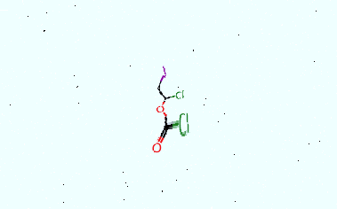 O=C(Cl)OC(Cl)CI